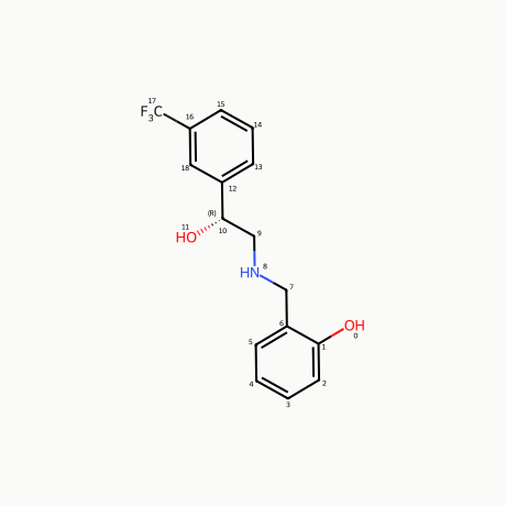 Oc1ccccc1CNC[C@H](O)c1cccc(C(F)(F)F)c1